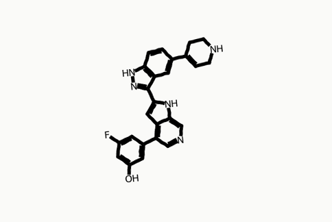 Oc1cc(F)cc(-c2cncc3[nH]c(-c4n[nH]c5ccc(C6=CCNCC6)cc45)cc23)c1